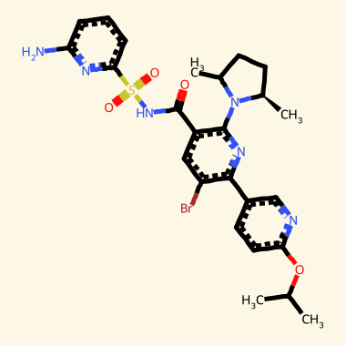 CC(C)Oc1ccc(-c2nc(N3C(C)CC[C@H]3C)c(C(=O)NS(=O)(=O)c3cccc(N)n3)cc2Br)cn1